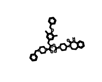 Cc1cc(C[C@@H](OC(=O)N2CCC(N3CCc4ccccc4NC3=O)CC2)C(=O)N2CCN(Cc3ccccc3)CC2)cc(C)c1OCc1ccccc1